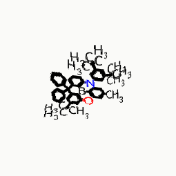 Cc1cc2c3c(c1)N(c1cc(C(C)(C)C)cc(C(C)(C)C)c1)c1cccc4c1B3c1c(cc(C(C)(C)C)cc1C4(c1ccccc1)c1ccccc1)O2